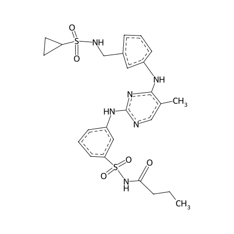 CCCC(=O)NS(=O)(=O)c1cccc(Nc2ncc(C)c(Nc3cccc(CNS(=O)(=O)C4CC4)c3)n2)c1